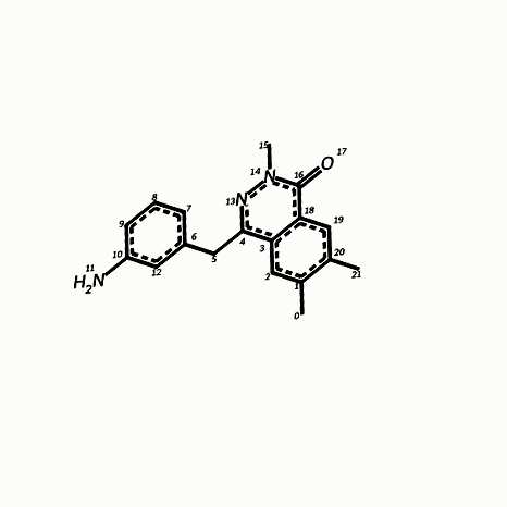 Cc1cc2c(Cc3cccc(N)c3)nn(C)c(=O)c2cc1C